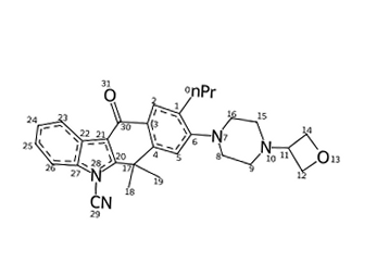 CCCc1cc2c(cc1N1CCN(C3COC3)CC1)C(C)(C)c1c(c3ccccc3n1C#N)C2=O